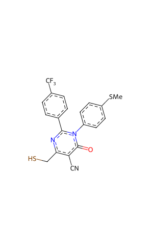 CSc1ccc(-n2c(-c3ccc(C(F)(F)F)cc3)nc(CS)c(C#N)c2=O)cc1